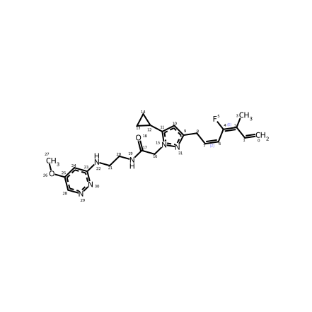 C=C/C(C)=C(F)\C=C/Cc1cc(C2CC2)n(CC(=O)NCCNc2cc(OC)cnn2)n1